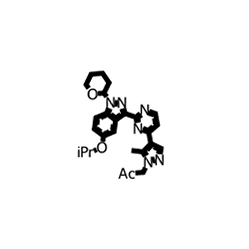 CC(=O)Cn1ncc(-c2ccnc(-c3nn(C4CCCCO4)c4ccc(OC(C)C)cc34)n2)c1C